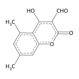 Cc1cc(C)c2c(O)c(C=O)c(=O)oc2c1